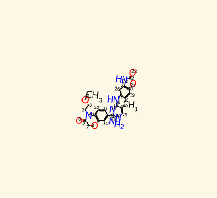 COCCN1C(=O)COc2cc(C3(N)N=C(Nc4ccc5oc(=O)[nH]c5c4)C(C)=CN3)ccc21